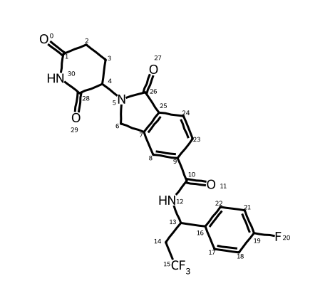 O=C1CCC(N2Cc3cc(C(=O)NC(CC(F)(F)F)c4ccc(F)cc4)ccc3C2=O)C(=O)N1